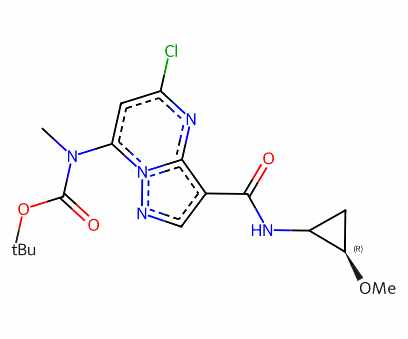 CO[C@@H]1CC1NC(=O)c1cnn2c(N(C)C(=O)OC(C)(C)C)cc(Cl)nc12